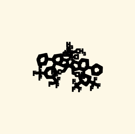 CCCC1=Cc2c(ccc(-c3ccccc3)c2-c2cc(C(F)(F)F)cc(C(F)(F)F)c2)[CH]1[Zr]([Cl])([Cl])([CH]1C(CCC)=Cc2c1ccc(-c1ccccc1)c2-c1cc(C(F)(F)F)cc(C(F)(F)F)c1)[SiH](C)C